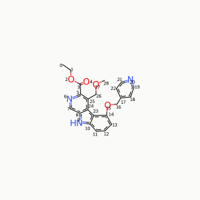 CCOC(=O)c1ncc2[nH]c3cccc(OCc4ccncc4)c3c2c1COC